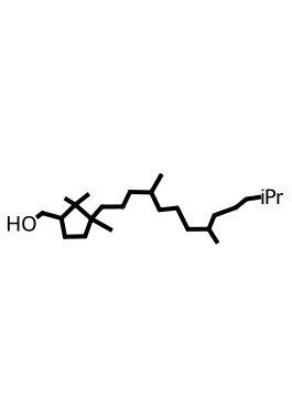 CC(C)CCCC(C)CCCC(C)CCCC1(C)CCC(CO)C1(C)C